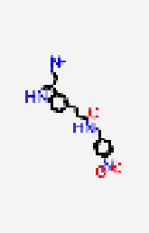 CN(C)CCc1c[nH]c2ccc(/C=C/C(=O)NCc3ccc([N+](=O)[O-])cc3)cc12